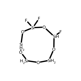 F[SiH]1O[SiH2]O[SiH2]O[SiH2]O[Si](F)(F)O1